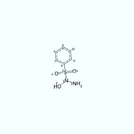 NN(O)S(=O)(=O)c1ccccc1